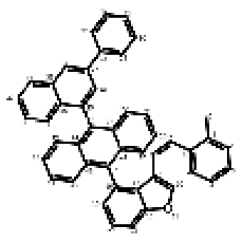 Cc1ccccc1/C=C\c1coc2cccc(-c3c4ccccc4c(-c4cc(-c5ccccc5)cc5ccccc45)c4ccccc34)c12